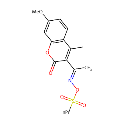 CCCS(=O)(=O)O/N=C(/c1c(C)c2ccc(OC)cc2oc1=O)C(F)(F)F